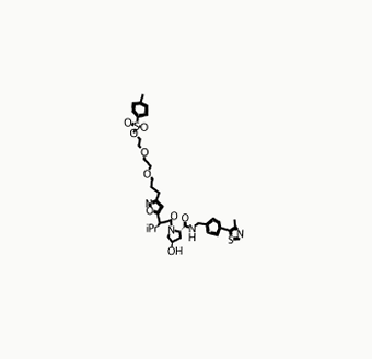 Cc1ccc(S(=O)(=O)OCCOCCOCCCc2cc(C(C(=O)N3C[C@H](O)C[C@H]3C(=O)NCc3ccc(-c4scnc4C)cc3)C(C)C)on2)cc1